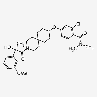 COc1cccc([C@@](C)(O)C(=O)N2CCC3(CCC(Oc4ccc(C(=O)N(C)C)c(Cl)c4)CC3)CC2)c1